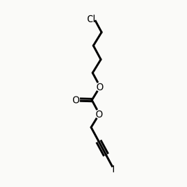 O=C(OCC#CI)OCCCCCl